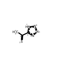 CC(=S)c1nnn[nH]1